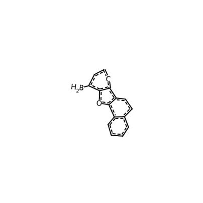 Bc1cccc2c1oc1c3ccccc3ccc21